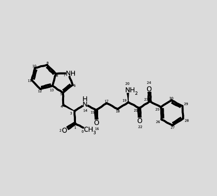 CC(=O)[C@@H](Cc1c[nH]c2ccccc12)NC(=O)CC[C@@H](N)C(=O)C(=O)c1ccccc1